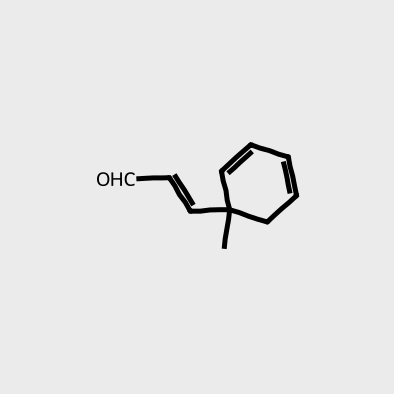 CC1(C=CC=O)C=CC=CC1